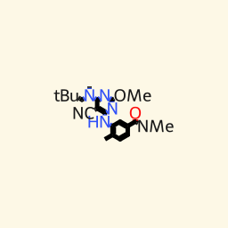 CNC(=O)c1ccc(C)c(Nc2nc(OC)nc(N(C)CC(C)(C)C)c2C#N)c1